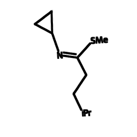 CS/C(CCC(C)C)=N\C1CC1